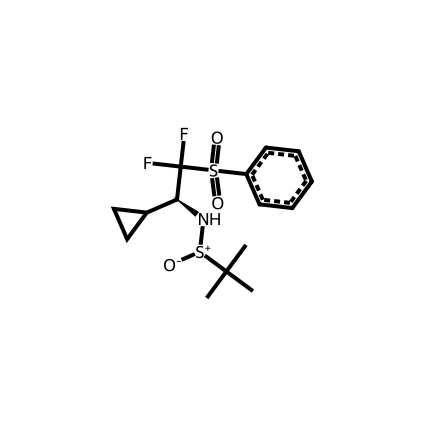 CC(C)(C)[S+]([O-])N[C@@H](C1CC1)C(F)(F)S(=O)(=O)c1ccccc1